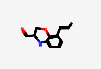 CC=Cc1cccc2c1OCC(C=O)N2